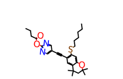 CCCCCCSc1cc2c(cc1C#Cc1cnc(OC(=O)CCC)nc1)C(C)(C)CC(C)(C)O2